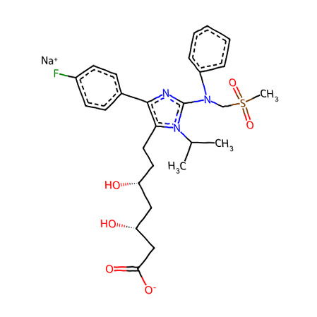 CC(C)n1c(N(CS(C)(=O)=O)c2ccccc2)nc(-c2ccc(F)cc2)c1CC[C@@H](O)C[C@@H](O)CC(=O)[O-].[Na+]